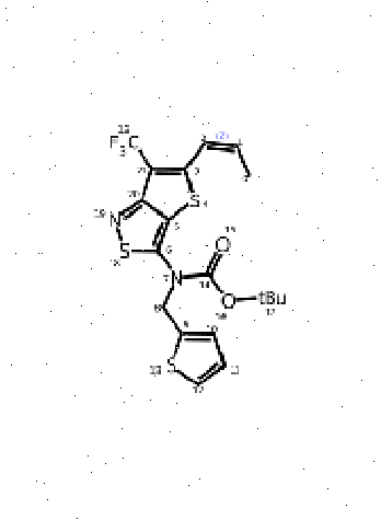 C/C=C\c1sc2c(N(Cc3cccs3)C(=O)OC(C)(C)C)snc2c1C(F)(F)F